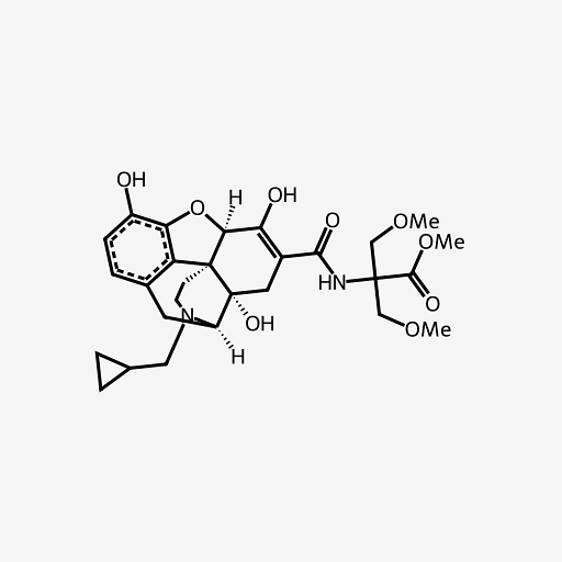 COCC(COC)(NC(=O)C1=C(O)[C@@H]2Oc3c(O)ccc4c3[C@@]23CCN(CC2CC2)[C@H](C4)[C@]3(O)C1)C(=O)OC